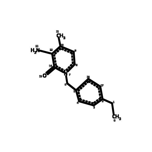 CCc1ccc(Cn2ccc(C)c(N)c2=O)cc1